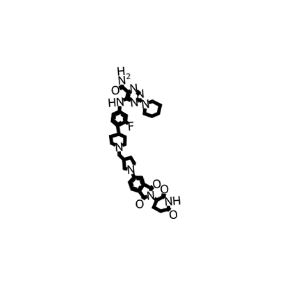 NC(=O)c1nnc(N2CCCCC2)nc1Nc1ccc(C2CCN(CC3CCN(c4ccc5c(c4)C(=O)N(C4CCC(=O)NC4=O)C5=O)C3)CC2)c(F)c1